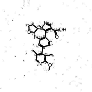 COc1ncc(C)c(-c2ccc(-c3c(C(=O)O)cnn3[C@H]3CCOC3)c(F)c2)c1C